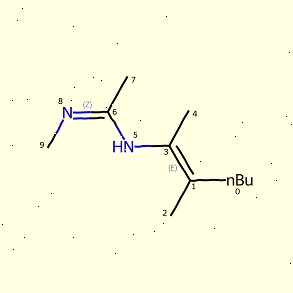 CCCC/C(C)=C(\C)N/C(C)=N\C